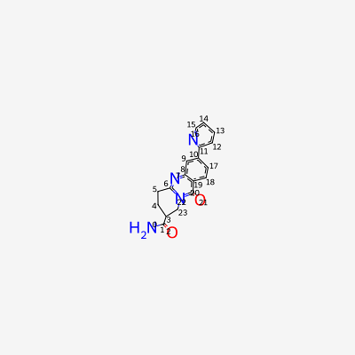 NC(=O)C1CCc2nc3cc(-c4ccccn4)ccc3c(=O)n2C1